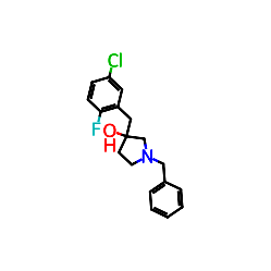 OC1(Cc2cc(Cl)ccc2F)CCN(Cc2ccccc2)C1